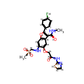 CNC(=O)c1c(-c2ccc(F)cc2)oc2cc(NCS(C)(=O)=O)c(OCC(=O)Nc3nccs3)cc12